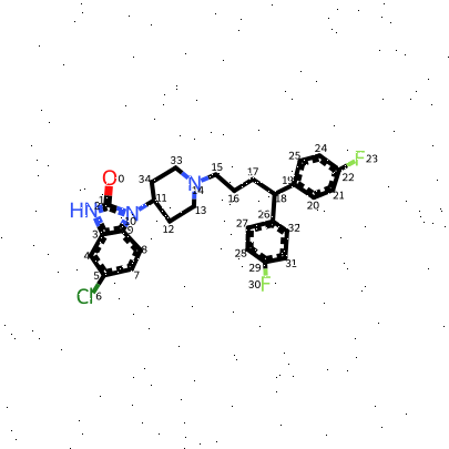 O=c1[nH]c2cc(Cl)ccc2n1C1CCN(CCCC(c2ccc(F)cc2)c2ccc(F)cc2)CC1